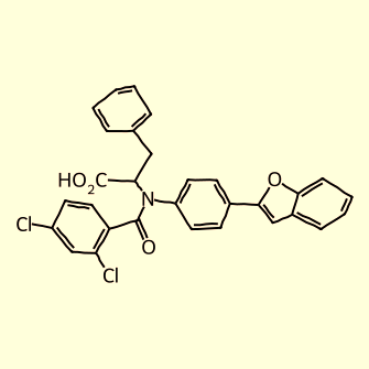 O=C(O)C(Cc1ccccc1)N(C(=O)c1ccc(Cl)cc1Cl)c1ccc(-c2cc3ccccc3o2)cc1